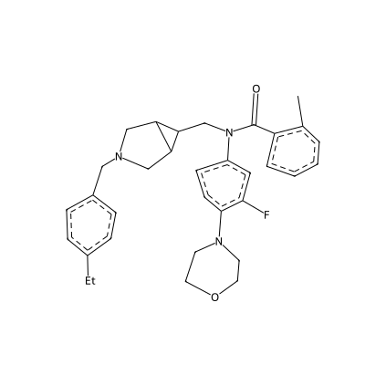 CCc1ccc(CN2CC3C(C2)C3CN(C(=O)c2ccccc2C)c2ccc(N3CCOCC3)c(F)c2)cc1